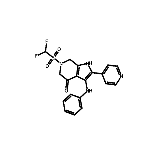 O=C1CN(S(=O)(=O)C(F)F)Cc2[nH]c(-c3ccncc3)c(Nc3ccccc3)c21